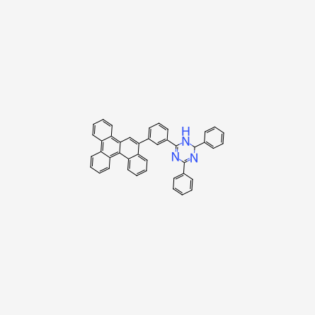 c1ccc(C2=NC(c3ccccc3)NC(c3cccc(-c4cc5c6ccccc6c6ccccc6c5c5ccccc45)c3)=N2)cc1